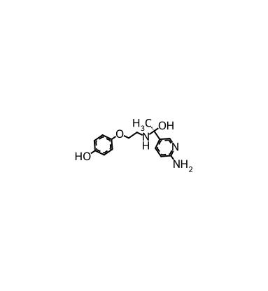 C[C@@](O)(NCCOc1ccc(O)cc1)c1ccc(N)nc1